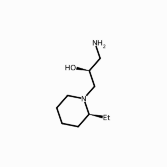 CC[C@H]1CCCCN1C[C@@H](O)CN